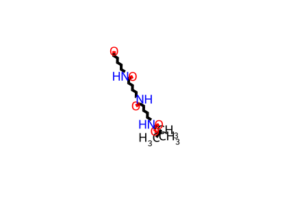 CC(C)(C)OC(=O)NCCCCCC(=O)NCCCCCC(=O)NCCCCCC=O